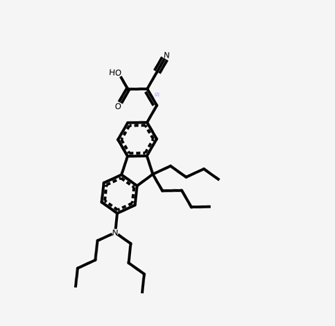 CCCCN(CCCC)c1ccc2c(c1)C(CCCC)(CCCC)c1cc(/C=C(/C#N)C(=O)O)ccc1-2